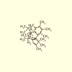 CC1=CC(C(C)C)=C(c2c(C)c(C)c(C)c(C)c2P(C(C)(C)C)C(C)(C)C)C1(C)C